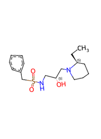 CC[C@H]1CCCCN1C[C@H](O)CNS(=O)(=O)Cc1ccccc1